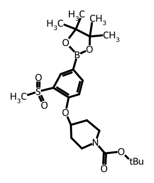 CC(C)(C)OC(=O)N1CCC(Oc2ccc(B3OC(C)(C)C(C)(C)O3)cc2S(C)(=O)=O)CC1